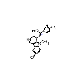 Cc1ccc(/C(O)=C/C2CNCc3c2n(C)c2ccc(Cl)cc32)cn1